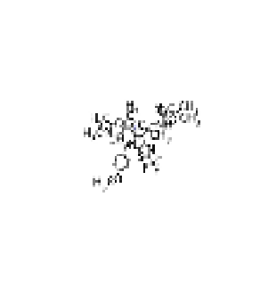 C/C=C(\C(=O)OC(C)N(C)C)c1c(C(C)(C)CNC(=O)OC(C)(C)C)c2nc(C(F)(F)F)sc2n1Cc1ccc(OC)cc1